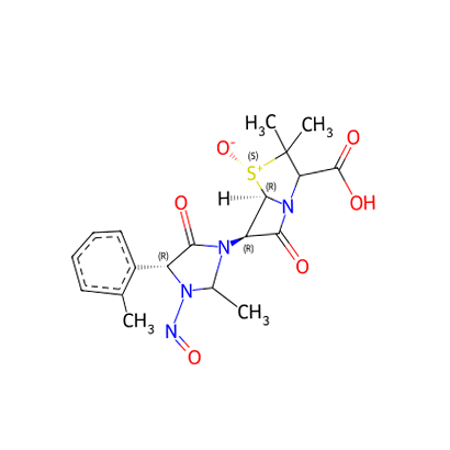 Cc1ccccc1[C@@H]1C(=O)N([C@@H]2C(=O)N3C(C(=O)O)C(C)(C)[S@@+]([O-])[C@H]23)C(C)N1N=O